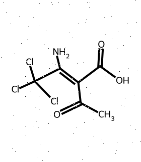 CC(=O)/C(C(=O)O)=C(/N)C(Cl)(Cl)Cl